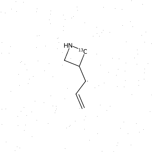 C=C[CH]C1CN[13CH2]1